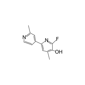 Cc1cc(-c2cc(C)c(O)c(F)n2)ccn1